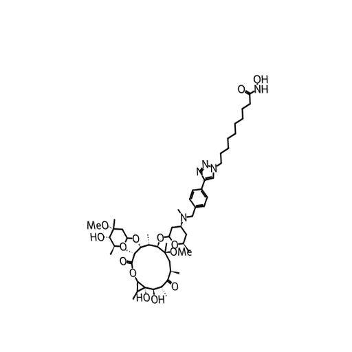 CO[C@]1(C)CC(O[C@@H]2[C@H](C)[C@@H](OC3C[C@@H](N(C)Cc4ccc(-c5cn(CCCCCCCCCC(=O)NO)nn5)cc4)C[C@@H](C)O3)[C@@](C)(OC)C[C@@H](C)C(=O)[C@H](C)[C@@H](O)[C@@]3(O)C(C)C3OC(=O)[C@@H]2C)O[C@@H](C)[C@@H]1O